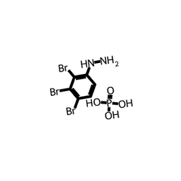 NNc1ccc(Br)c(Br)c1Br.O=P(O)(O)O